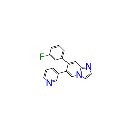 Fc1cccc(-c2cc3nccn3cc2-c2cccnc2)c1